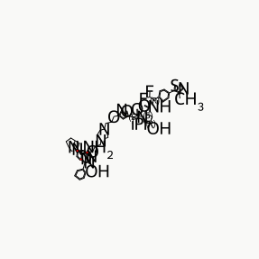 Cc1ncsc1-c1ccc([C@@H](NC(=O)[C@@H]2C[C@@H](O)CN2C(=O)[C@H](c2cc(OCCN3CCN(CCOc4cc(N5C6CCC5CN(c5cc(-c7ccccc7O)nnc5N)C6)ccn4)CC3)no2)C(C)C)C(F)F)cc1